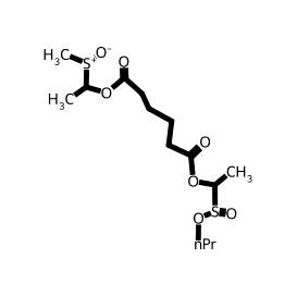 CCCOS(=O)C(C)OC(=O)CCCCC(=O)OC(C)[S+](C)[O-]